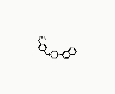 NCc1ccc(CN2CCN(c3ccc4ccccc4c3)CC2)cc1